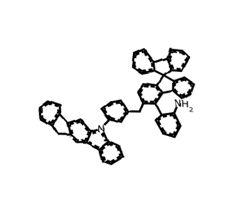 Nc1ccccc1-c1c(Cc2cccc(-n3c4ccccc4c4cc5c(cc43)-c3ccccc3C5)c2)ccc2c1-c1ccccc1C21c2ccccc2-c2ccccc21